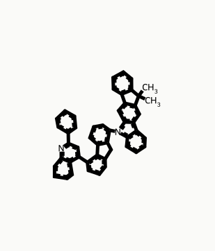 CC1(C)c2ccccc2-c2cc3c(cc21)c1ccccc1n3-c1cccc2c1Cc1cccc(-c3cc(-c4ccccc4)nc4ccccc34)c1-2